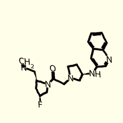 C=NC[C@@H]1C[C@H](F)CN1C(=O)CN1CC[C@@H](Nc2cnc3ccccc3c2)C1